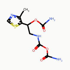 Cc1ncsc1C(CNC(=O)OC(N)=O)OC(N)=O